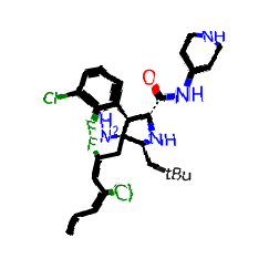 C=C/C=C(Cl)\C=C(\F)C[C@@]1(N)[C@H](CC(C)(C)C)N[C@@H](C(=O)NC2CCNCC2)[C@@H]1c1cccc(Cl)c1F